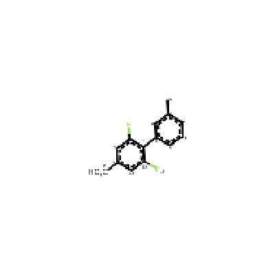 Cc1cccc(-c2c(F)cc(C(=O)O)cc2F)c1